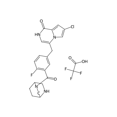 O=C(O)C(F)(F)F.O=C(c1cc(Cc2c[nH]c(=O)c3cc(Cl)cn23)ccc1F)N1CC2CCC1CN2